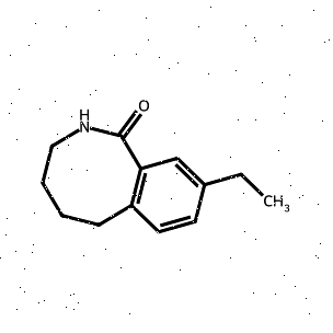 CCc1ccc2c(c1)C(=O)NCCCC2